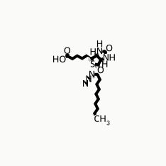 CCCCCCCCCC(N=[N+]=[N-])O[C@@H]1S[C@@H](CCCCC(=O)O)[C@H]2NC(=O)N[C@H]21